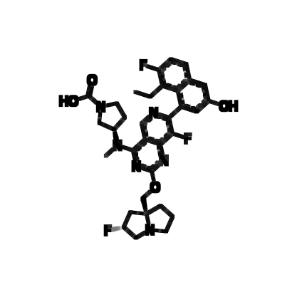 CCc1c(F)ccc2cc(O)cc(-c3ncc4c(N(C)[C@@H]5CCN(C(=O)O)C5)nc(OC[C@@]56CCCN5C[C@H](F)C6)nc4c3F)c12